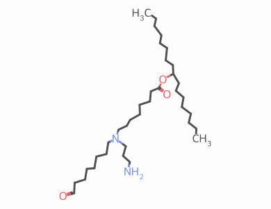 CCCCCCCCC(CCCCCCCC)OC(=O)CCCCCCCN(CCCN)CCCCCCCC=O